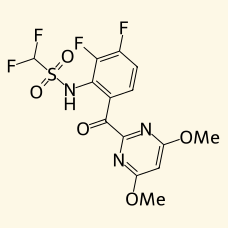 COc1cc(OC)nc(C(=O)c2ccc(F)c(F)c2NS(=O)(=O)C(F)F)n1